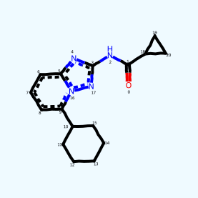 O=C(Nc1nc2cccc(C3CCCCC3)n2n1)C1CC1